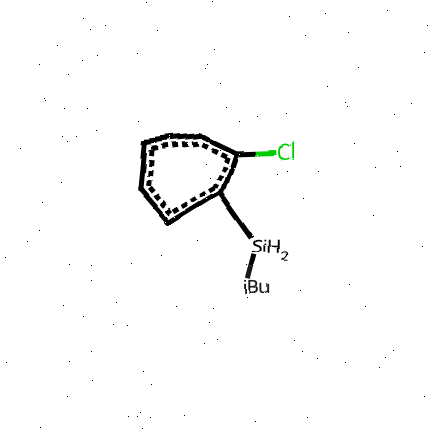 CCC(C)[SiH2]c1ccccc1Cl